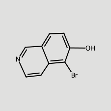 Oc1ccc2cnccc2c1Br